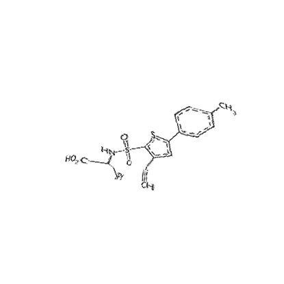 C#Cc1cc(-c2ccc(C)cc2)sc1S(=O)(=O)NC(C(=O)O)C(C)C